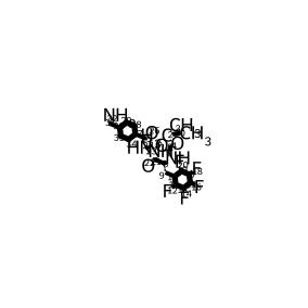 CC(C)(C)OC(=O)N[C@H](Cc1c(F)c(F)c(F)c(F)c1F)C(=O)NNC(=O)c1ccc(CN)cc1